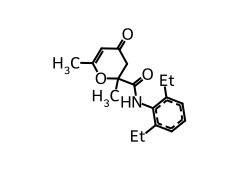 CCc1cccc(CC)c1NC(=O)C1(C)CC(=O)C=C(C)O1